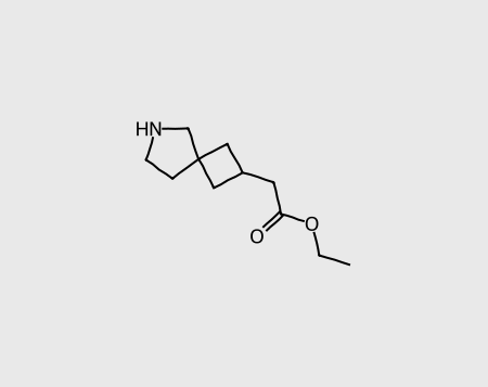 CCOC(=O)CC1CC2(CCNC2)C1